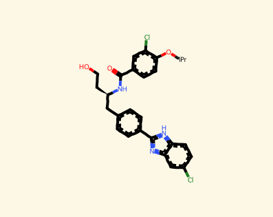 CC(C)Oc1ccc(C(=O)N[C@H](CCO)Cc2ccc(-c3nc4cc(Cl)ccc4[nH]3)cc2)cc1Cl